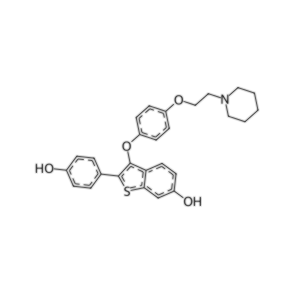 Oc1ccc(-c2sc3cc(O)ccc3c2Oc2ccc(OCCN3CCCCC3)cc2)cc1